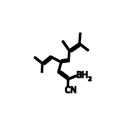 B/C(C#N)=C\C(C=C(C)C)=C\C(C)=C(C)C